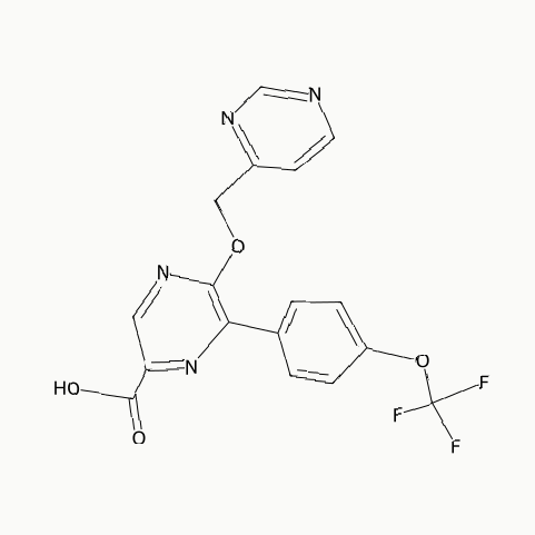 O=C(O)c1cnc(OCc2ccncn2)c(-c2ccc(OC(F)(F)F)cc2)n1